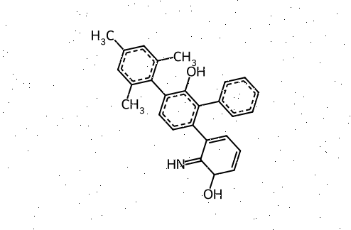 Cc1cc(C)c(-c2ccc(C3=CC=CC(O)C3=N)c(-c3ccccc3)c2O)c(C)c1